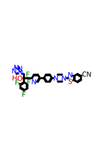 N#Cc1ccc2sc(N3CCN(c4ccc(-c5ccc(C(F)(F)C(O)(Cn6cnnn6)c6ccc(F)cc6F)nc5)cc4)CC3)nc2c1